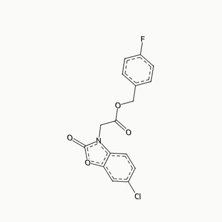 O=C(Cn1c(=O)oc2cc(Cl)ccc21)OCc1ccc(F)cc1